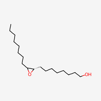 CCCCCCCCC1O[C@H]1CCCCCCCCO